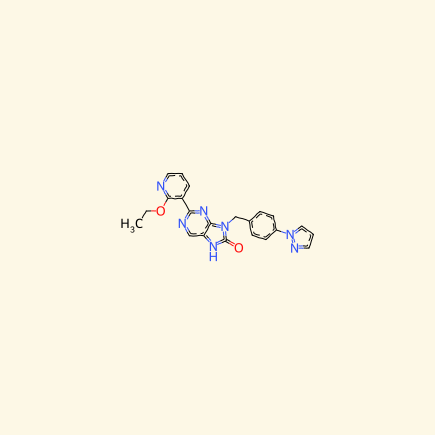 CCOc1ncccc1-c1ncc2[nH]c(=O)n(Cc3ccc(-n4cccn4)cc3)c2n1